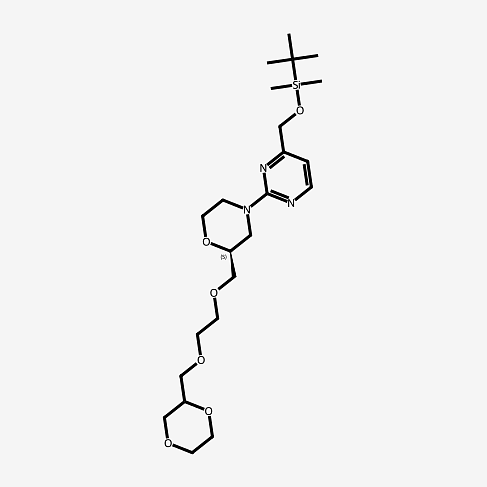 CC(C)(C)[Si](C)(C)OCc1ccnc(N2CCO[C@H](COCCOCC3COCCO3)C2)n1